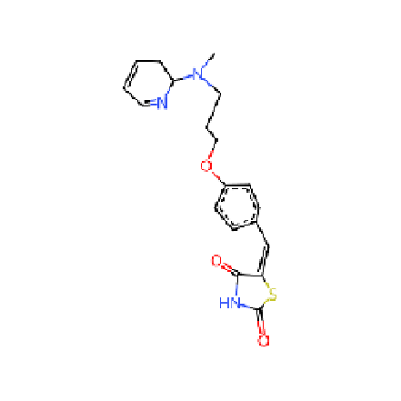 CN(CCCOc1ccc(/C=C2/SC(=O)NC2=O)cc1)C1CC=CC=N1